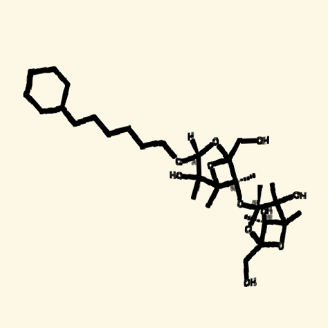 CC1(O)[C@H](OCCCCCCC2CCCCC2)OC2(CO)OC1(C)[C@]2(C)O[C@@]1(C)OC2(CO)OC(C)(C1(C)O)[C@]2(C)O